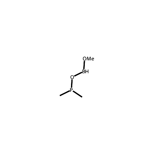 COBOP(C)C